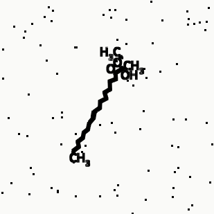 CCCCCCCCC=CCCCCCCCC(=O)C(C)(O)OCC